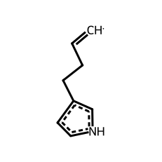 [CH]=CCCc1cc[nH]c1